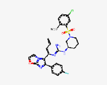 C=C/C=C(\N=C(/N)N[C@@H]1CCCN(S(=O)(=O)c2cc(Cl)ccc2OC)C1)c1c(-c2ccc(F)cc2)nc2occn12